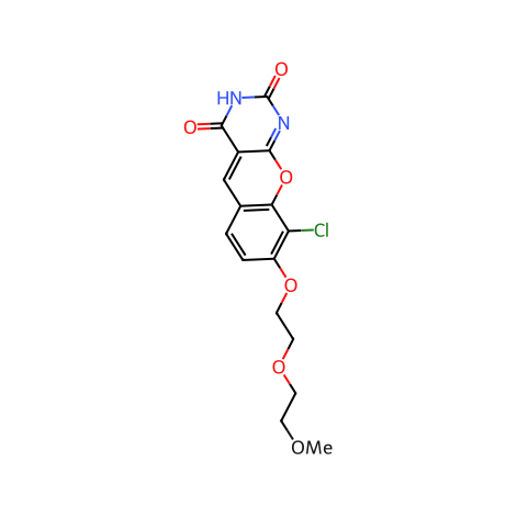 COCCOCCOc1ccc2cc3c(=O)[nH]c(=O)nc-3oc2c1Cl